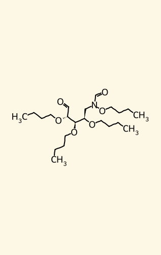 CCCCO[C@@H]([C@@H](C=O)OCCCC)[C@@H](CN(C=O)OCCCC)OCCCC